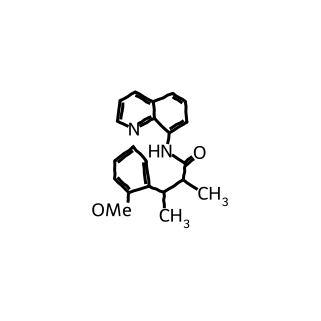 COc1ccccc1C(C)C(C)C(=O)Nc1cccc2cccnc12